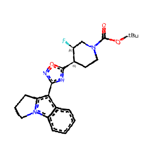 CC(C)(C)OC(=O)N1CC[C@@H](c2nc(-c3c4n(c5ccccc35)CCC4)no2)[C@@H](F)C1